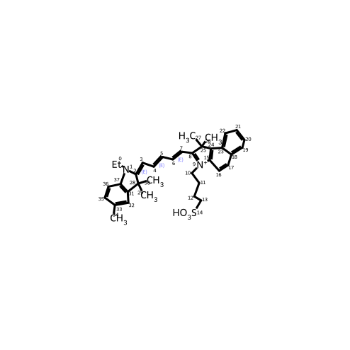 CCN1/C(=C/C=C/C=C/C2=[N+](CCCCS(=O)(=O)O)c3ccc4ccccc4c3C2(C)C)C(C)(C)c2cc(C)ccc21